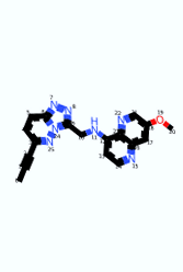 CC#Cc1ccc2nnc(CNc3ccnc4cc(OC)cnc34)n2n1